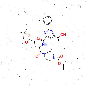 CCOC(=O)N1CCN(C(=O)[C@H](CCC(=O)OC(C)(C)C)NC(=O)c2cc(C(C)O)nc(-c3ccccc3)n2)CC1